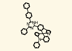 c1ccc(C2=NC(c3ccc4c(c3)C3(c5ccccc5N(c5ccccc5)c5ccccc53)c3ncccc3-4)NC(c3ccc(-c4ccccc4)cc3)=N2)cc1